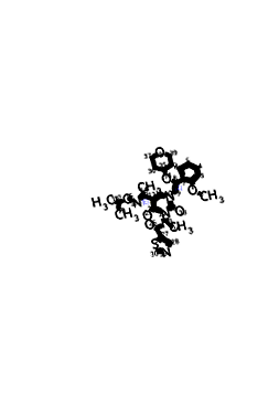 COc1ccccc1/C(=C/n1cc(/C(C)=N/OC(C)C)c(=O)n(N(C)C(=O)c2cncs2)c1=O)OC1CCOCC1